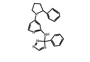 C1=NC(Nc2cc(N3CCCC3c3ccccc3)ccn2)(c2ccccc2)N=N1